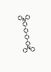 c1ccc(N(c2ccccc2)c2ccc(-c3ccc(-c4ccc(-c5ccc(N(c6ccccc6)c6ccccc6)cc5)cc4)cc3)cc2)cc1